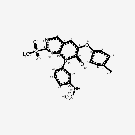 CS(=O)(=O)c1ncc2cc(Oc3ccc(F)cc3)c(=O)n(-c3cccc(NC(=O)O)c3)c2n1